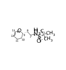 CC(C)(C)[S+]([O-])NCC[C@@H]1CCC=CO1